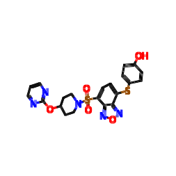 O=S(=O)(c1ccc(Sc2ccc(O)cc2)c2nonc12)N1CCC(Oc2ncccn2)CC1